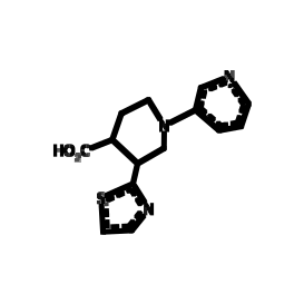 O=C(O)C1CCN(c2cccnc2)CC1c1nccs1